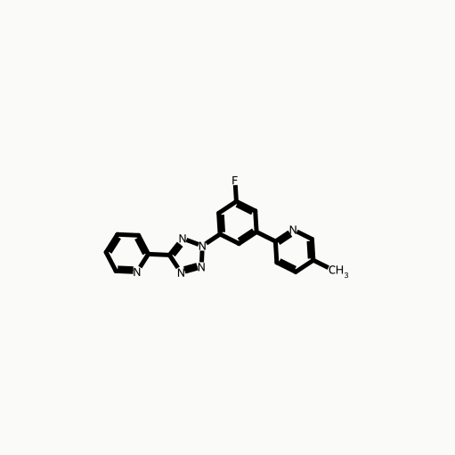 Cc1ccc(-c2cc(F)cc(-n3nnc(-c4ccccn4)n3)c2)nc1